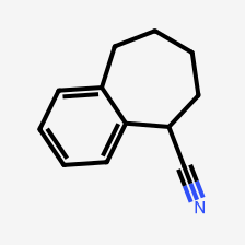 N#CC1CCCCc2ccccc21